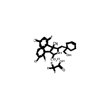 N#CC1(c2ccc(Cl)cc2F)C(CC2(CO)CC=CCC2)NC(C(=O)O)C1c1cccc(Cl)c1F.O=C(O)C(F)(F)F